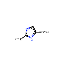 CCCCCc1cnc(C(=O)OCC)[nH]1